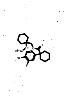 CCCCCCOC1(COC(=O)C2(c3ccc(C#N)c(F)c3)CCCCC2)CCCCC1